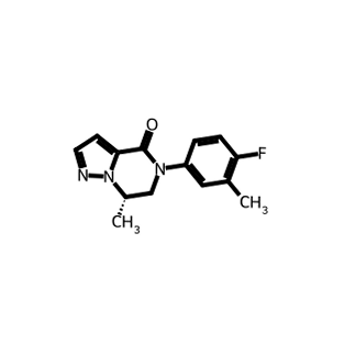 Cc1cc(N2C[C@H](C)n3nccc3C2=O)ccc1F